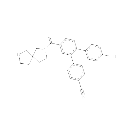 Cc1ccc(-c2ccc(C(=O)N3CCC4(CCNC4)C3)cc2-c2ccc(C#N)cc2)cc1